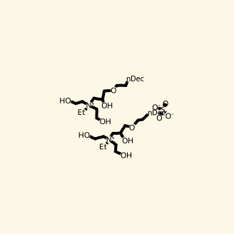 CCCCCCCCCCCCOCC(O)C[N+](CC)(CCO)CCO.CCCCCCCCCCCCOCC(O)C[N+](CC)(CCO)CCO.O=S(=O)([O-])[O-]